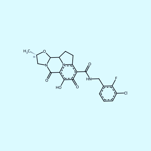 C[C@H]1CN2C(=O)c3c(O)c(=O)c(C(=O)NCc4cccc(Cl)c4F)c4n3C(CC4)C2O1